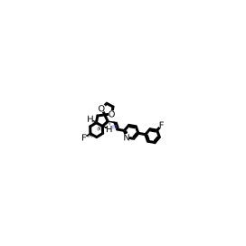 Fc1cccc(-c2ccc(/C=C/[C@H]3[C@@H]4CC[C@@H](F)C[C@H]4CC34OCCO4)nc2)c1